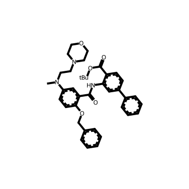 CN(CCN1CCOCC1)c1ccc(OCc2ccccc2)c(C(=O)Nc2cc(-c3ccccc3)ccc2C(=O)OC(C)(C)C)c1